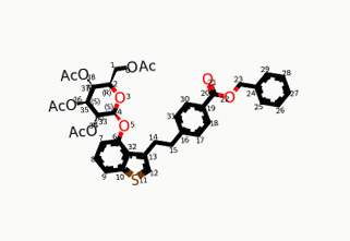 CC(=O)OC[C@H]1O[C@@H](Oc2cccc3scc(CCc4ccc(C(=O)OCc5ccccc5)cc4)c23)[C@H](OC(C)=O)[C@@H](OC(C)=O)[C@@H]1OC(C)=O